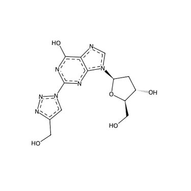 OCc1cn(-c2nc(O)c3ncn([C@H]4C[C@H](O)[C@@H](CO)O4)c3n2)nn1